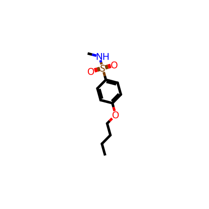 CCCCOc1ccc(S(=O)(=O)NC)cc1